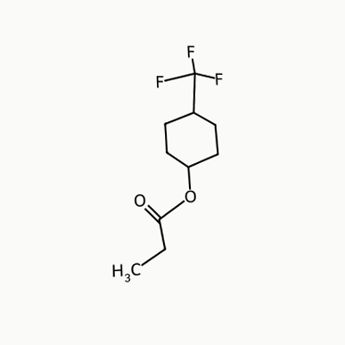 CCC(=O)OC1CCC(C(F)(F)F)CC1